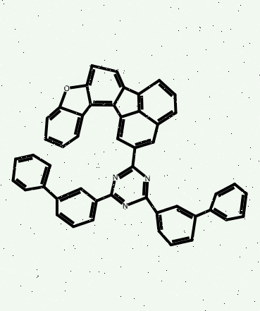 c1ccc(-c2cccc(-c3nc(-c4cccc(-c5ccccc5)c4)nc(-c4cc5c6c(cccc6c4)-c4ccc6oc7ccccc7c6c4-5)n3)c2)cc1